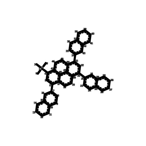 C[Si](C)(C)c1cc(-c2ccc3ccccc3c2)c2ccc3c(-c4ccc5ccccc5c4)cc(-c4ccc5ccccc5c4)c4ccc1c2c34